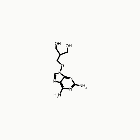 Nc1nc(N)c2ncn(OCC(CO)CO)c2n1